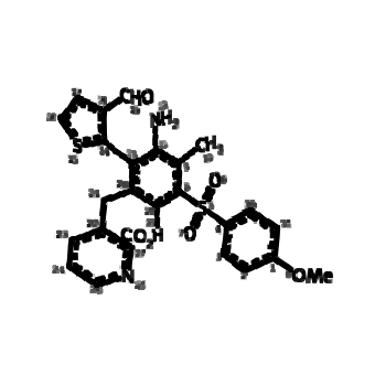 COc1ccc(S(=O)(=O)c2c(C)c(N)c(-c3sccc3C=O)c(Cc3cccnc3)c2C(=O)O)cc1